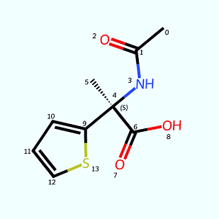 CC(=O)N[C@@](C)(C(=O)O)c1cccs1